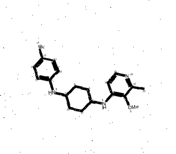 COc1c(NC2CCC(Nc3ccc(C(C)(C)C)cc3)CC2)ccnc1C